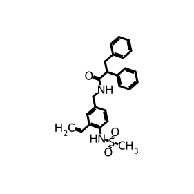 C=Cc1cc(CNC(=O)C(Cc2ccccc2)c2ccccc2)ccc1NS(C)(=O)=O